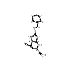 C#Cc1cc(=O)n2nc(SCc3ccccc3)sc2n1